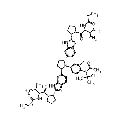 COC(=O)NC(C(=O)N1CCC[C@H]1c1nc2ccc([C@H]3CC[C@H](c4ccc5nc([C@@H]6CCCN6C(=O)[C@@H](NC(=O)OC)C(C)C)[nH]c5c4)N3c3ccc(N(C(C)=O)C(C)(C)C)c(F)c3)cc2[nH]1)C(C)C